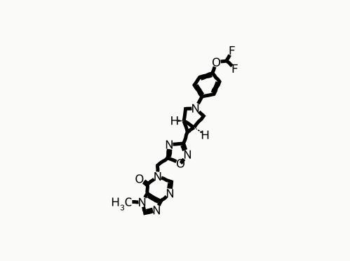 Cn1cnc2ncn(Cc3nc(C4[C@H]5CN(c6ccc(OC(F)F)cc6)C[C@@H]45)no3)c(=O)c21